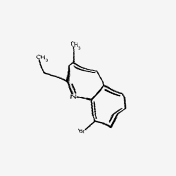 CCc1nc2c(Br)cccc2cc1C